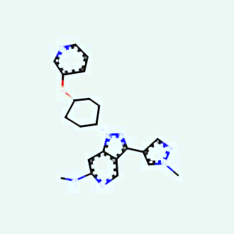 CNc1cc2c(cn1)c(-c1cnn(C)c1)nn2[C@H]1CC[C@H](Oc2cccnc2)CC1